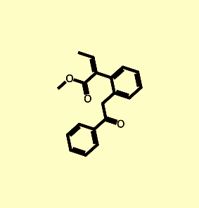 CC=C(C(=O)OC)c1ccccc1CC(=O)c1ccccc1